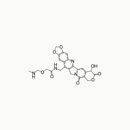 CNCOCC(=O)NCc1c2c(nc3cc4c(cc13)OCO4)-c1cc3c(c(=O)n1C2)COC(=O)C3O